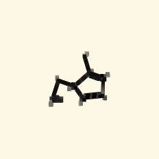 CCCCCn1ncnc1C